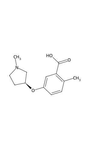 Cc1ccc(O[C@H]2CCN(C)C2)cc1C(=O)O